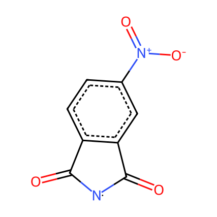 O=C1[N]C(=O)c2cc([N+](=O)[O-])ccc21